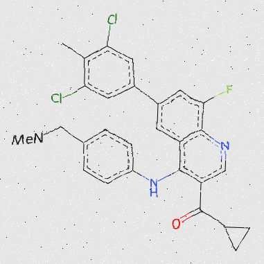 CNCc1ccc(Nc2c(C(=O)C3CC3)cnc3c(F)cc(-c4cc(Cl)c(C)c(Cl)c4)cc23)cc1